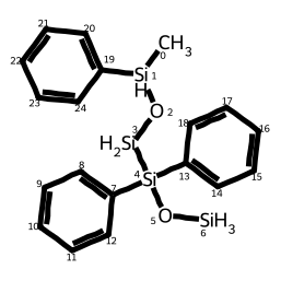 C[SiH](O[SiH2][Si](O[SiH3])(c1ccccc1)c1ccccc1)c1ccccc1